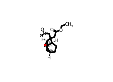 CCOC(=O)CC1(C[N+](=O)[O-])[C@@H]2C[C@@H]3CC[C@H]1[C@H]2C3